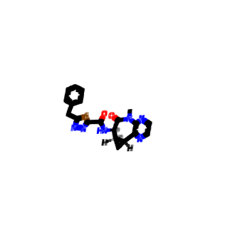 CN1C(=O)[C@H](NC(=O)c2nnc(Cc3ccccc3)s2)[C@@H]2C[C@@H]2c2nccnc21